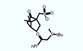 CC1(C)C2CCC1(CS(=O)(=O)[O-])C(=O)C2.CCCC(=O)C[S+](C)C(C)(C)C